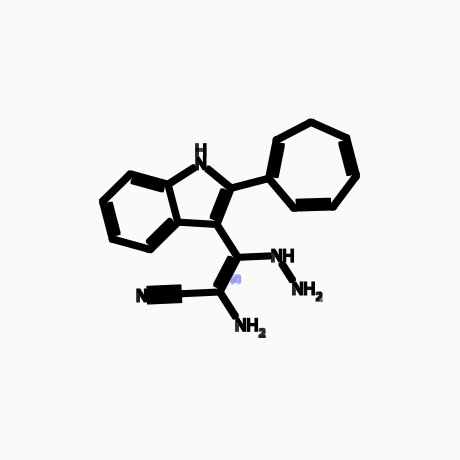 N#C/C(N)=C(/NN)c1c(C2=CCC=CC=C2)[nH]c2ccccc12